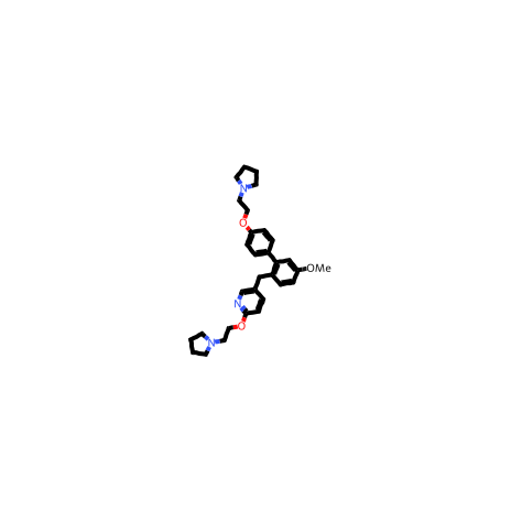 COc1ccc(Cc2ccc(OCCN3CCCC3)nc2)c(-c2ccc(OCCN3CCCC3)cc2)c1